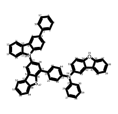 c1ccc(-c2ccc3c(c2)c2ccccc2n3-c2cc(-c3ccc(N(c4ccccc4)c4ccc5oc6ccccc6c5c4)cc3)c3sc4ccccc4c3c2)cc1